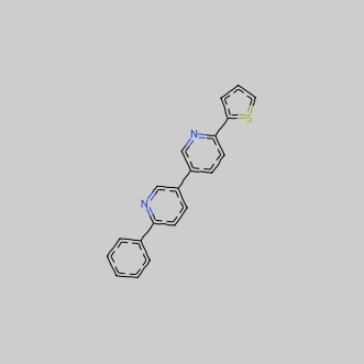 c1ccc(-c2ccc(-c3ccc(-c4cccs4)nc3)cn2)cc1